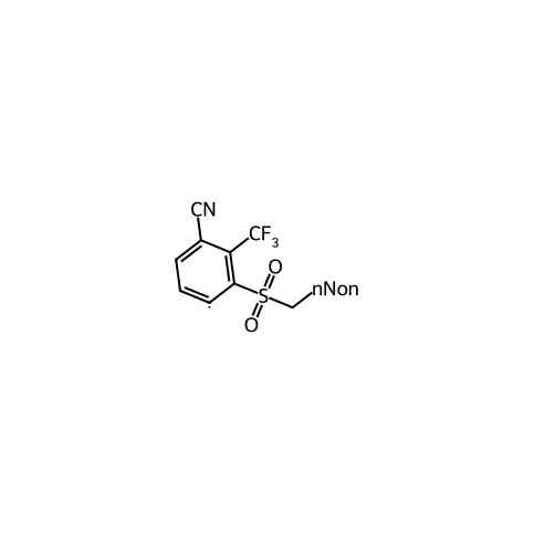 CCCCCCCCCCS(=O)(=O)c1[c]ccc(C#N)c1C(F)(F)F